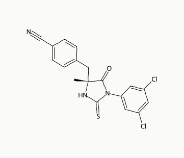 C[C@]1(Cc2ccc(C#N)cc2)NC(=S)N(c2cc(Cl)cc(Cl)c2)C1=O